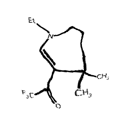 CCN1C=C(C(=O)C(F)(F)F)C(C)(C)CCC1